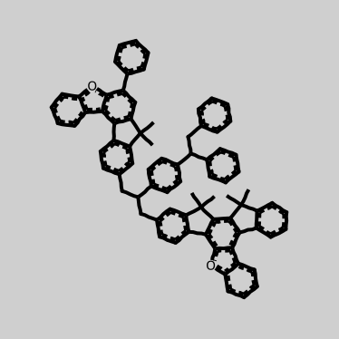 CC1(C)c2cc(CC(Cc3ccc4c(c3)C(C)(C)c3c5c(c6c(oc7ccccc76)c3-4)-c3ccccc3C5(C)C)c3ccc(C(Cc4ccccc4)c4ccccc4)cc3)ccc2-c2c1cc(-c1ccccc1)c1oc3ccccc3c21